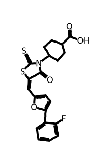 O=C(O)C1CCC(N2C(=O)/C(=C\c3ccc(-c4ccccc4F)o3)SC2=S)CC1